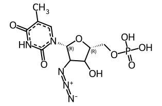 Cc1cn([C@@H]2O[C@H](COP(=O)(O)O)C(O)C2N=[N+]=[N-])c(=O)[nH]c1=O